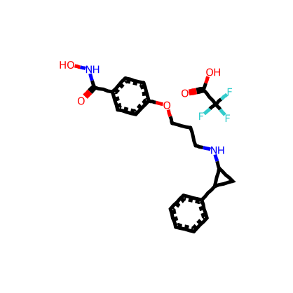 O=C(NO)c1ccc(OCCCNC2CC2c2ccccc2)cc1.O=C(O)C(F)(F)F